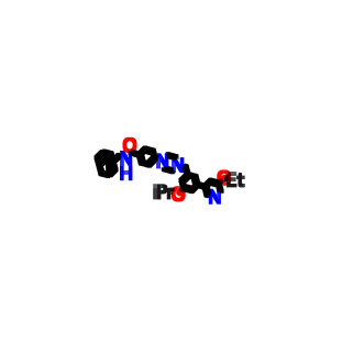 CCOc1cncc(-c2cc(CN3CCN(c4ccc(C(=O)NCC56CC7CC(CC(C7)C5)C6)cc4)CC3)cc(OC(C)C)c2)c1